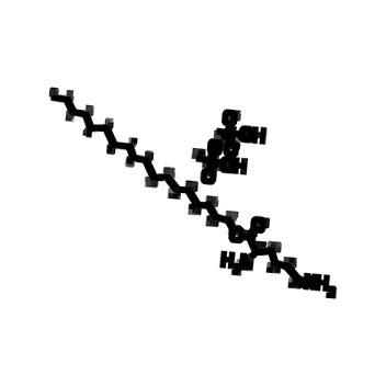 CCCCCCCCCCCCCCCCCCOC(=O)[C@@H](N)CCCCN.CS(=O)(=O)O.CS(=O)(=O)O